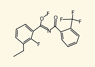 CCc1cccc(C(=NC(=O)c2ccccc2C(F)(F)F)OF)c1F